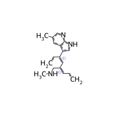 C=C/C=C(\C=C(/C=C)c1c[nH]c2ncc(C)cc12)CNC